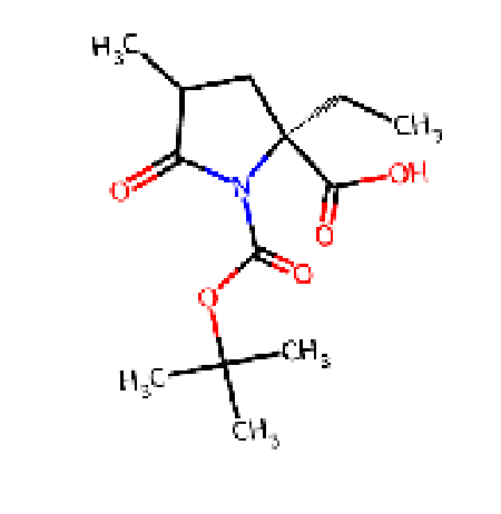 CC[C@@]1(C(=O)O)CC(C)C(=O)N1C(=O)OC(C)(C)C